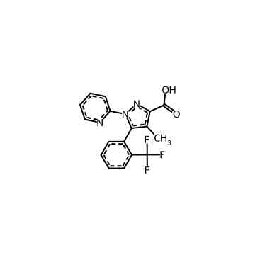 Cc1c(C(=O)O)nn(-c2ccccn2)c1-c1ccccc1C(F)(F)F